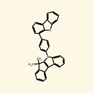 CC1(C)c2ccccc2-c2c1n(-c1ccc(-c3cccc4c3sc3ccccc34)cc1)c1ccccc21